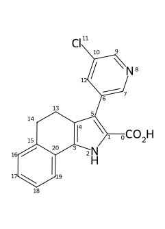 O=C(O)c1[nH]c2c(c1-c1cncc(Cl)c1)CCc1ccccc1-2